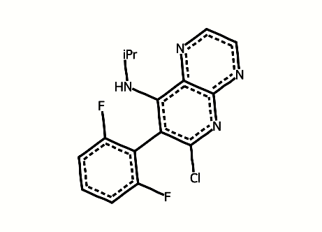 CC(C)Nc1c(-c2c(F)cccc2F)c(Cl)nc2nccnc12